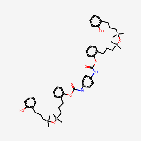 C[Si](C)(CCCc1ccccc1O)O[Si](C)(C)CCCc1ccccc1OC(=O)Nc1ccc(NC(=O)Oc2ccccc2CCC[Si](C)(C)O[Si](C)(C)CCCc2ccccc2O)cc1